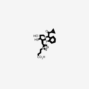 Cl.O=C(O)CCCn1nnnc1/C=C1\CN(C(C(=O)C2CC2)c2ccccc2F)CCC1S